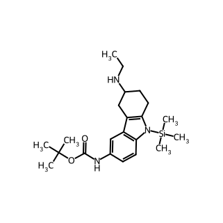 CCNC1CCc2c(c3cc(NC(=O)OC(C)(C)C)ccc3n2[Si](C)(C)C)C1